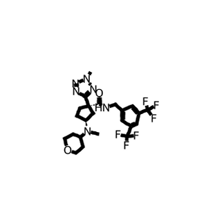 CN(C1CCOCC1)[C@@H]1CC[C@@](C(=O)NCc2cc(C(F)(F)F)cc(C(F)(F)F)c2)(c2nnn(C)n2)C1